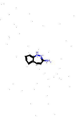 NC1=NNc2ccccc2C=C1